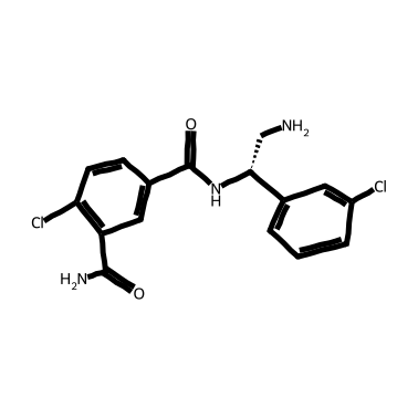 NC[C@@H](NC(=O)c1ccc(Cl)c(C(N)=O)c1)c1cccc(Cl)c1